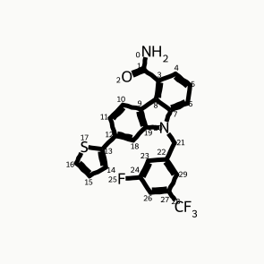 NC(=O)c1cccc2c1c1[c]cc(-c3cccs3)cc1n2Cc1cc(F)cc(C(F)(F)F)c1